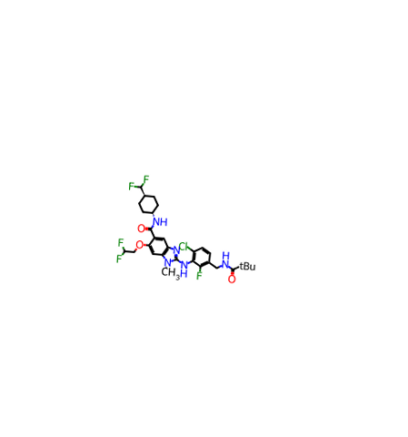 Cn1c(Nc2c(Cl)ccc(CNC(=O)C(C)(C)C)c2F)nc2cc(C(=O)N[C@H]3CC[C@H](C(F)F)CC3)c(OCC(F)F)cc21